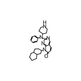 O=c1ccc2cnc(N(c3ccccc3)C3CCNCC3)nc2n1C1CCC2CCCCC2C1